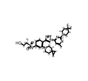 Cc1cc(-n2cc(-c3ccc(NS(=O)(=O)[C@@H](C)CO)cc3N3CCC4(CC3)CC4)nn2)nc(N2CCC(F)(F)CC2)n1